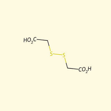 O=C(O)CSSCC(=O)O